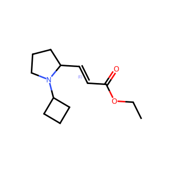 CCOC(=O)/C=C/C1CCCN1C1CCC1